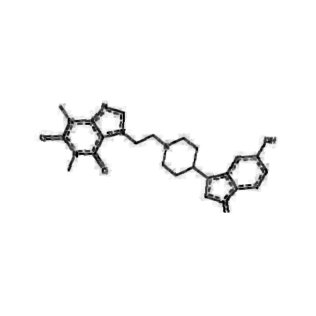 Cn1c(=O)c2c(ncn2CCN2CCC(c3c[nH]c4ccc(O)cc34)CC2)n(C)c1=O